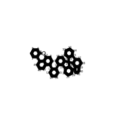 c1ccc2c(c1)Oc1ccc(-c3ccccc3-c3cccc4c3-c3ccccc3C43c4ccccc4-c4ccc5ccccc5c43)c3cccc-2c13